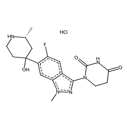 C[C@@H]1CC(O)(c2cc3c(cc2F)c(N2CCC(=O)NC2=O)nn3C)CCN1.Cl